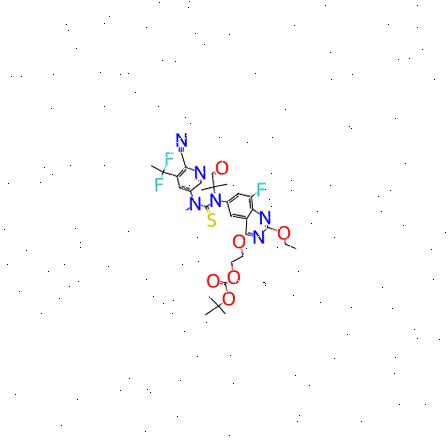 CCOc1nc(OCCOC(=O)OC(C)(C)C)c2cc(N(C(=S)N(C)c3cnc(C#N)c(C(C)(F)F)c3)C(C)(C)C=O)cc(F)c2n1